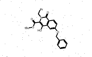 CC(C)Cn1c(C(=O)OC(C)(C)C)c(O)c2cc(OCc3ccccc3)ccc2c1=O